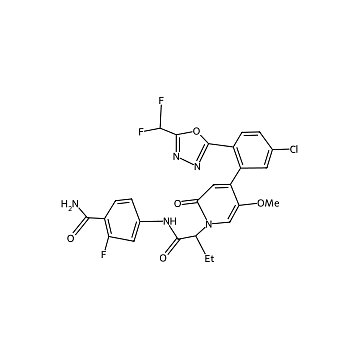 CCC(C(=O)Nc1ccc(C(N)=O)c(F)c1)n1cc(OC)c(-c2cc(Cl)ccc2-c2nnc(C(F)F)o2)cc1=O